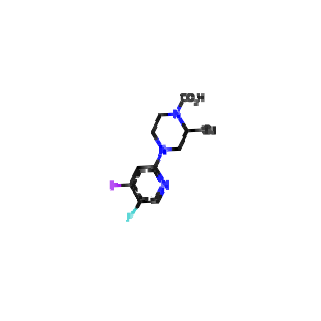 CC(C)(C)C1CN(c2cc(I)c(F)cn2)CCN1C(=O)O